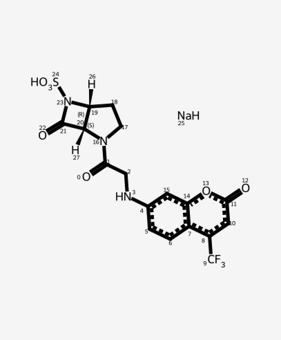 O=C(CNc1ccc2c(C(F)(F)F)cc(=O)oc2c1)N1CC[C@@H]2[C@H]1C(=O)N2S(=O)(=O)O.[NaH]